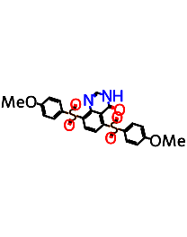 COc1ccc(S(=O)(=O)c2ccc(S(=O)(=O)c3ccc(OC)cc3)c3c(=O)[nH]cnc23)cc1